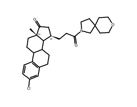 C[C@]12CCC3c4ccc(Cl)cc4CCC3C1[C@H](CCC(=O)N1CCC3(CCOCC3)C1)CC2=O